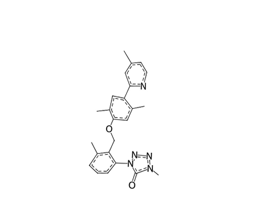 Cc1ccnc(-c2cc(C)c(OCc3c(C)cccc3-n3nnn(C)c3=O)cc2C)c1